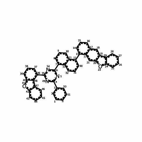 c1ccc(-c2nc(-c3cccc4c(-c5cccc6cc7c(cc56)oc5ccccc57)cccc34)nc(-c3cccc4oc5ccccc5c34)n2)cc1